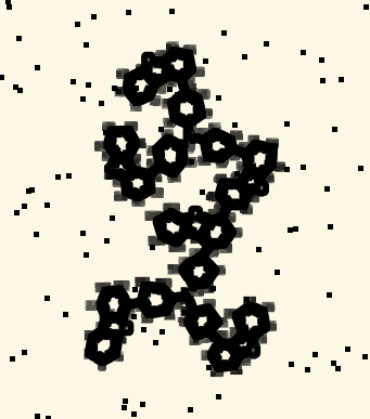 c1ccc2c(c1)oc1c(-c3ccc(N(c4ccc(-c5cccc6oc7ccccc7c56)cc4)c4ccc(-c5ccc(-c6ccc7c(c6)oc6cccc(-c8ccc(N(c9ccc(-c%10cccc%11oc%12ccccc%12c%10%11)cc9)c9ccc(-c%10cccc%11sc%12ccccc%12c%10%11)cc9)cc8)c67)c6oc7ccccc7c56)cc4)cc3)cccc12